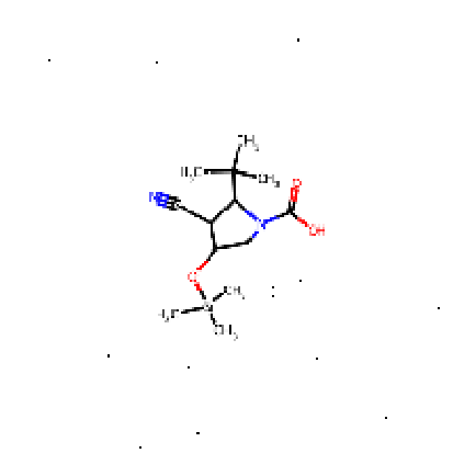 CC(C)(C)C1C(C#N)C(O[Si](C)(C)C)CN1C(=O)O